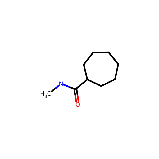 C[N]C(=O)C1CCCCCC1